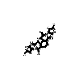 C=c1c2sc3c4c(ccc(c24)c2nc4sc(C)cc4n12)c(=C)n1c2cc(C)sc2nc31